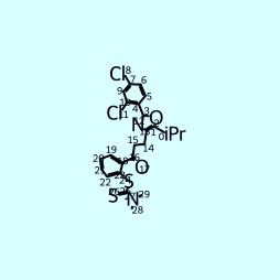 CC(C)c1oc(-c2ccc(Cl)cc2Cl)nc1CCC(=O)c1ccccc1SC(=S)N(C)C